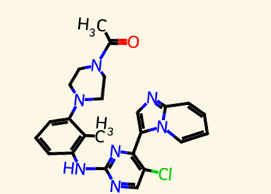 CC(=O)N1CCN(c2cccc(Nc3ncc(Cl)c(-c4cnc5ccccn45)n3)c2C)CC1